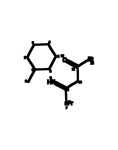 CC1CCCCC1.CCCC(=N)CC(=O)CC